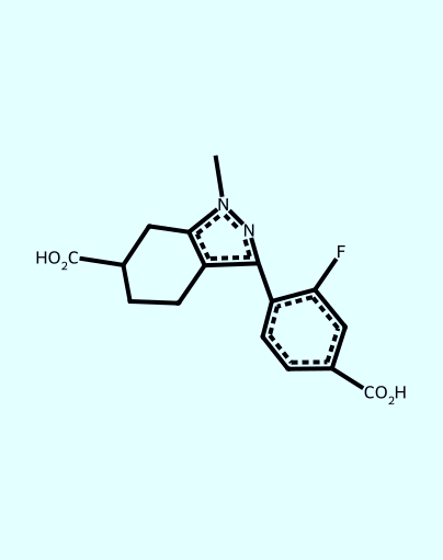 Cn1nc(-c2ccc(C(=O)O)cc2F)c2c1CC(C(=O)O)CC2